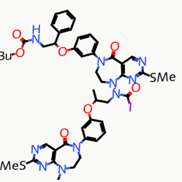 CSc1ncc2c(n1)N(C)CCN(c1cccc(OC(C)CN(C(=O)I)N3CCN(c4cccc(OC(CNC(=O)OC(C)(C)C)c5ccccc5)c4)C(=O)c4cnc(SC)nc43)c1)C2=O